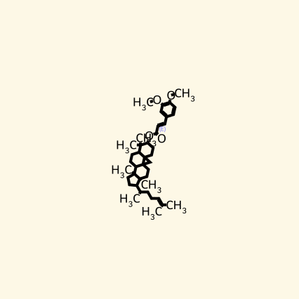 COc1ccc(/C=C/C(=O)OC2CCC34CC35CCC3(C)C(C(C)CCC=C(C)C)CCC3(C)C5CCC4C2(C)C)cc1OC